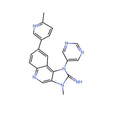 Cc1ccc(-c2ccc3ncc4c(c3c2)n(-c2cncnc2)c(=N)n4C)cn1